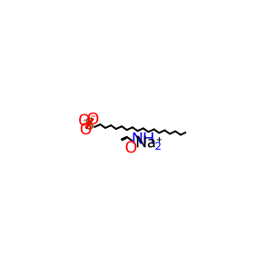 C=CC(N)=O.CCCCCCCCCCCCCCCCCCS(=O)(=O)[O-].[Na+]